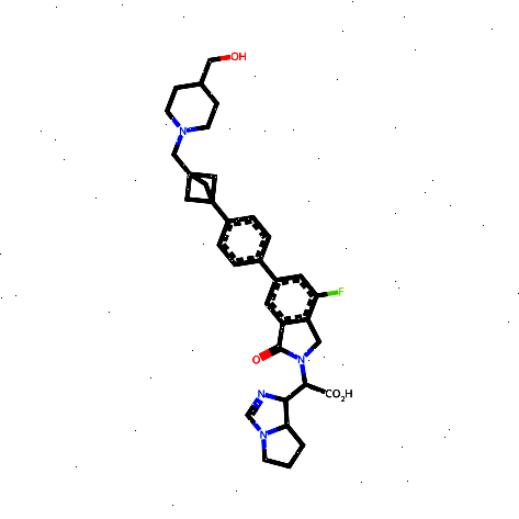 O=C(O)C(C1N=CN2CCCC12)N1Cc2c(F)cc(-c3ccc(C45CC(CN6CCC(CO)CC6)(C4)C5)cc3)cc2C1=O